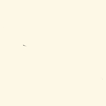 CCCCC[C@H]1CC[C@H](C2CC=C(CCc3ccc(C#N)cc3)CC2)CC1